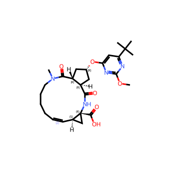 COc1nc(O[C@@H]2C[C@H]3C(=O)N[C@]4(C(=O)O)C[C@H]4/C=C\CCCCN(C)C(=O)[C@@H]3C2)cc(C(C)(C)C)n1